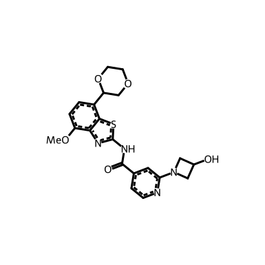 COc1ccc(C2COCCO2)c2sc(NC(=O)c3ccnc(N4CC(O)C4)c3)nc12